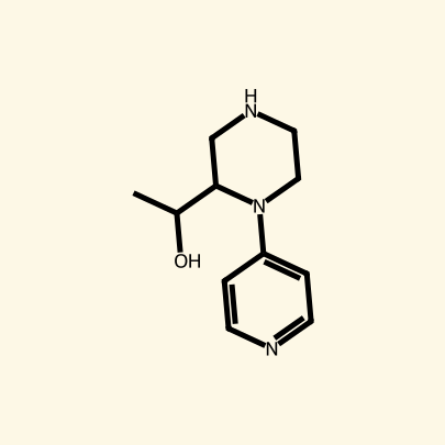 CC(O)C1CNCCN1c1ccncc1